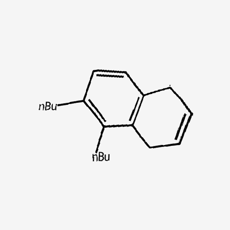 CCCCc1ccc2c(c1CCCC)CC=C[CH]2